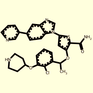 CC(Oc1cc(-n2cnc3cc(-c4cccnc4)ccc32)sc1C(N)=O)c1cccc(OC2CCNCC2)c1Cl